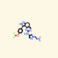 CN(C)CCn1cc(Nc2ncc3c(n2)-c2c(nn(C)c2-c2ccc(OC(F)F)cc2)CC3)cn1